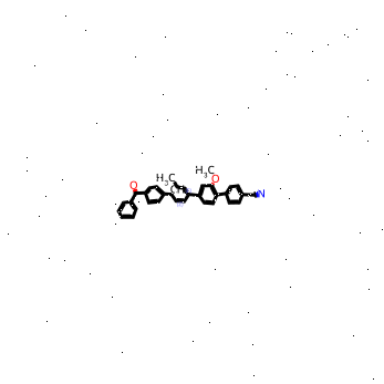 CC/C=C(\C=C/C(C)c1ccc(C(=O)c2ccccc2)cc1)c1ccc(-c2ccc(C#N)cc2)c(OC)c1